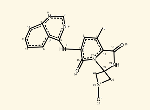 Cc1cc(Nc2ncnc3ccccc23)c(=O)n2c1C(=O)NC21C[S+]([O-])C1